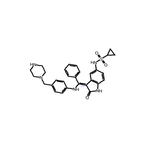 O=C1Nc2ccc(NS(=O)(=O)C3CC3)cc2/C1=C(/Nc1ccc(CN2CCNCC2)cc1)c1ccccc1